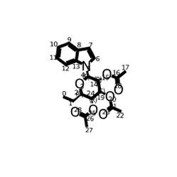 CC[C@H]1O[C@@H](n2ccc3ccccc32)[C@H](OC(C)=O)[C@@H](OC(C)=O)[C@@H]1OC(C)=O